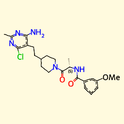 COc1cccc(C(=O)N[C@@H](C)C(=O)N2CCC(CCc3c(N)nc(C)nc3Cl)CC2)c1